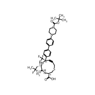 CC(C)(F)C[C@@H]1N[C@@](c2ccc(-c3ccc(N4CCN(C(=O)OC(C)(C)C)CC4)cc3)cc2)(C(F)(F)F)C#CCSC[C@@H](C(=O)O)NC1=O